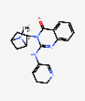 CN1C2CC1[C@H](n1c(NC3=CCCN=C3)nc3ccccc3c1=O)C2